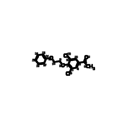 CC(=O)c1cc(Cl)c(OCCOc2ccccc2)c(Cl)c1